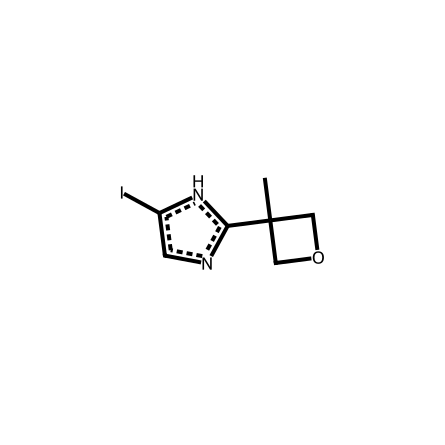 CC1(c2ncc(I)[nH]2)COC1